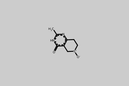 Cc1nc2c(c(=O)[nH]1)C[S+]([O-])CC2